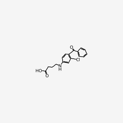 O=C(O)CCCNc1ccc(C(=O)c2ccccc2)c(Cl)c1